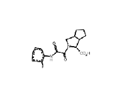 O=C(Nc1ccccc1F)C(=O)N1CC2CCCC2[C@H]1C(=O)O